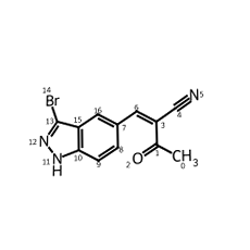 CC(=O)C(C#N)=Cc1ccc2[nH]nc(Br)c2c1